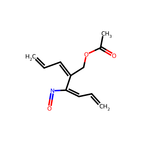 C=C/C=C(COC(C)=O)\C(=C/C=C)N=O